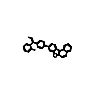 C/C=C(/c1ccc(-c2ccc3c(c2)oc2ccc4ccccc4c23)cc1)c1ccccc1C